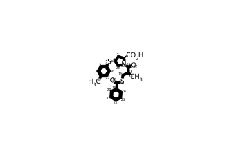 Cc1ccc(S[C@H]2C[C@@H](C(=O)O)N(C(=O)C(C)CSC(=O)c3ccccc3)C2)cc1